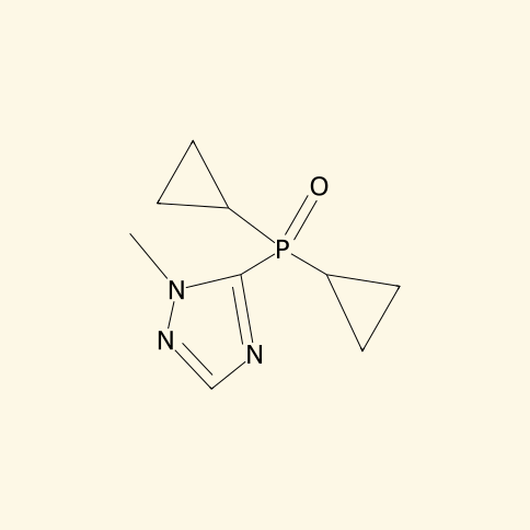 Cn1ncnc1P(=O)(C1CC1)C1CC1